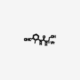 Cc1c(C=O)cccc1NC(=O)N[C@H](CO)C(C)C